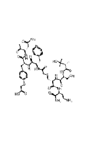 CC(=O)[C@H](CC(=O)O)NC(=O)[C@H](Cc1ccc(OCC(=O)O)cc1)NC(=O)[C@H](Cc1ccncc1)NC(=O)CSC[C@H](NC(=O)[C@H](CO)NC(=O)[C@@H](C)C(C)(C)O)C(=O)N[C@@H](CCN)C(N)=O